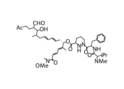 CNC(C(=O)NC(Cc1ccccc1)C(=O)N1CCCC(C(=O)O[C@@H](C/C=C/C=C/CC(C)C(O)C(C=O)CCC(C)=O)/C(C)=C/C=C/C(=O)N(C)OC)N1)C(C)C